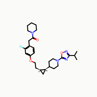 CC(C)c1noc(N2CCC([C@H]3C[C@H]3CCOc3ccc(CC(=O)N4CCCCC4)c(F)c3)CC2)n1